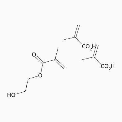 C=C(C)C(=O)O.C=C(C)C(=O)O.C=C(C)C(=O)OCCO